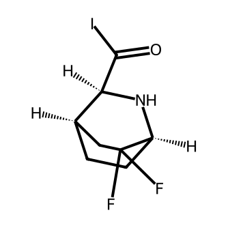 O=C(I)[C@H]1N[C@H]2CC[C@@H]1CC2(F)F